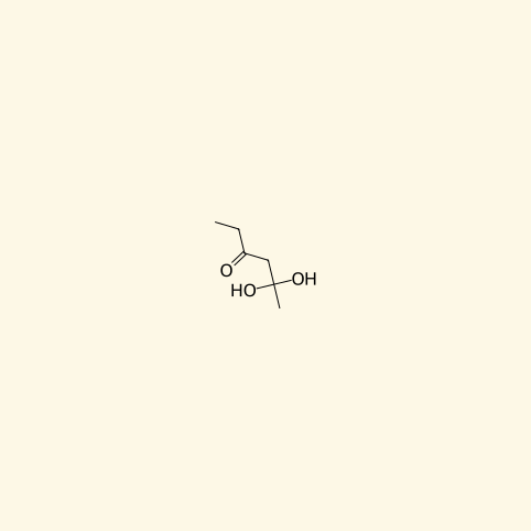 CCC(=O)CC(C)(O)O